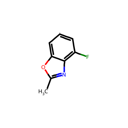 Cc1nc2c(F)c[c]cc2o1